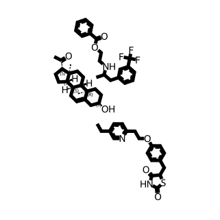 CC(=O)[C@H]1CC[C@H]2[C@@H]3CC=C4C[C@@H](O)CC[C@]4(C)[C@H]3CC[C@]12C.CC(Cc1cccc(C(F)(F)F)c1)NCCOC(=O)c1ccccc1.CCc1ccc(CCOc2ccc(CC3SC(=O)NC3=O)cc2)nc1